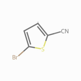 N#Cc1[c]cc(Br)s1